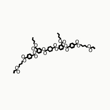 C=CC(=O)OCCCCOC(=O)c1ccc(C(=O)Oc2ccc(OC(=O)C3CCC(C(=O)Oc4ccc(OC(=O)c5ccc(C(=O)OCCCCOC(=O)C=C)cc5)c(C(=O)OCCCC)c4)CC3)cc2C(=O)OCCCC)cc1